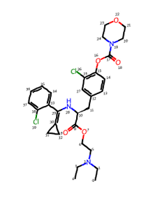 CCN(CC)CCOC(=O)[C@H](Cc1ccc(OC(=O)N2CCOCC2)c(Cl)c1)NC(=C1CC1)c1ccccc1Cl